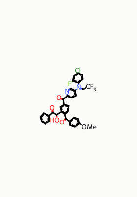 COc1ccc(C(=O)c2ccc(C(=O)c3ccc(N(CC(F)(F)F)c4ccc(Cl)cc4F)cn3)cc2C(O)C(=O)c2ccccc2)cc1